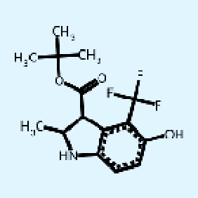 CC1Nc2ccc(O)c(C(F)(F)F)c2C1C(=O)OC(C)(C)C